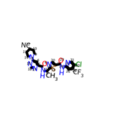 CC(NC(=O)c1cc(N2CCC(C#N)CC2)ncn1)c1ncc(C(=O)Nc2cc(C(F)(F)F)c(Cl)cn2)s1